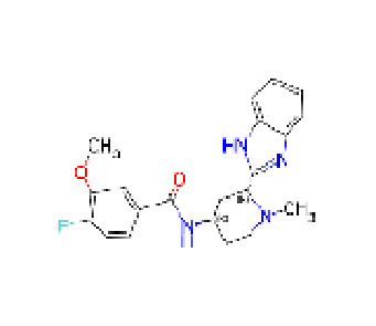 COc1cc(C(=O)N[C@@H]2CCN(C)[C@@H](c3nc4ccccc4[nH]3)C2)ccc1F